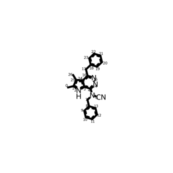 Cc1[nH]c2c(N(C#N)Cc3ccccc3)nnc(Cc3ccccc3)c2c1C